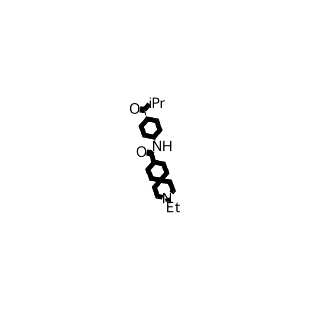 CCN1CCC2(CCC(C(=O)N[C@H]3CC[C@@H](C(=O)C(C)C)CC3)CC2)CC1